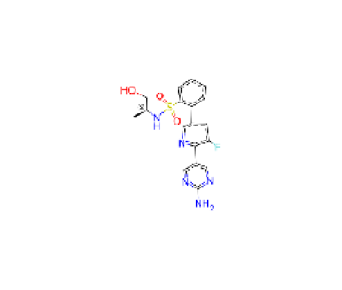 C[C@@H](CO)NS(=O)(=O)c1ccccc1-c1cnc(-c2cnc(N)nc2)c(F)c1